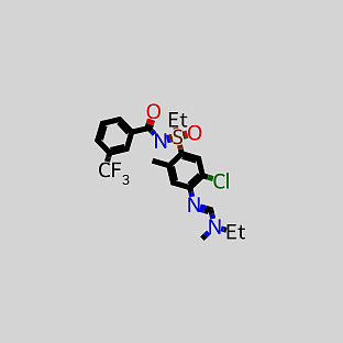 CCN(C)/C=N/c1cc(C)c(S(=O)(CC)=NC(=O)c2cccc(C(F)(F)F)c2)cc1Cl